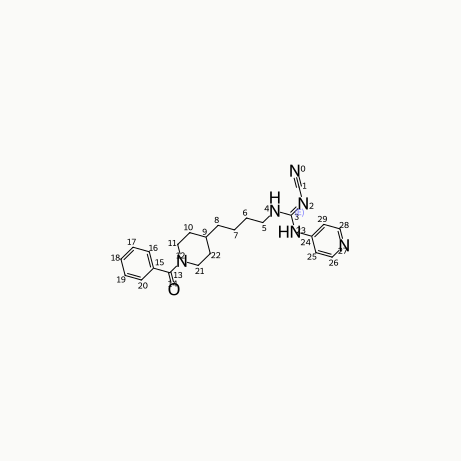 N#C/N=C(\NCCCCC1CCN(C(=O)c2ccccc2)CC1)Nc1ccncc1